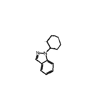 [CH]1CCCCC1n1ncc2ccccc21